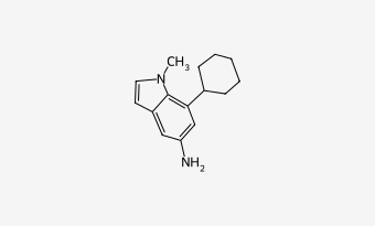 Cn1ccc2cc(N)cc(C3CCCCC3)c21